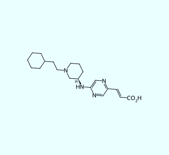 O=C(O)C=Cc1cnc(N[C@@H]2CCCN(CCC3CCCCC3)C2)cn1